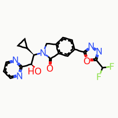 O=C1c2cc(-c3nnc(C(F)F)o3)ccc2CN1[C@H](C1CC1)[C@@H](O)c1ncccn1